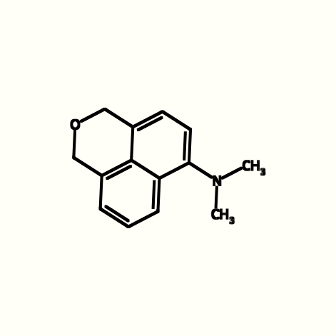 CN(C)c1ccc2c3c(cccc13)COC2